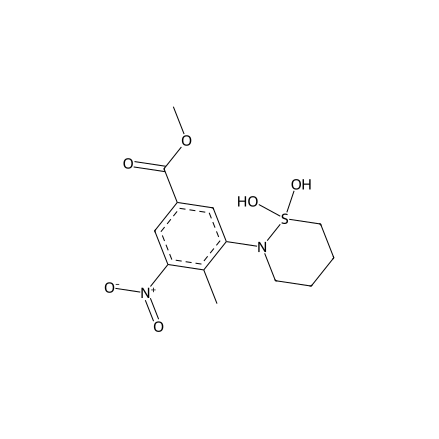 COC(=O)c1cc(N2CCCCS2(O)O)c(C)c([N+](=O)[O-])c1